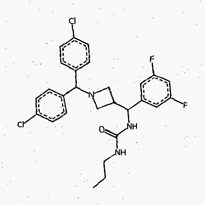 CCCNC(=O)NC(c1cc(F)cc(F)c1)C1CN(C(c2ccc(Cl)cc2)c2ccc(Cl)cc2)C1